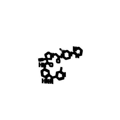 C#CC1(C(=O)Nc2ccc3[nH]nc(-c4ccnc(C)c4)c3c2)CCN(CC(=O)N2CCN(c3ncccn3)C[C@H]2C)C1